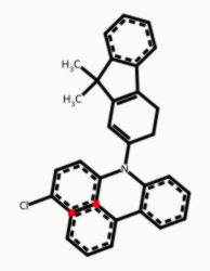 CC1(C)C2=C(CCC(N(c3ccc(Cl)cc3)c3ccccc3-c3ccccc3)=C2)c2ccccc21